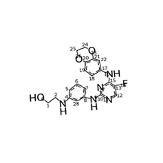 OCCNc1cccc(Nc2ncc(F)c(Nc3ccc4c(c3)OCCO4)n2)c1